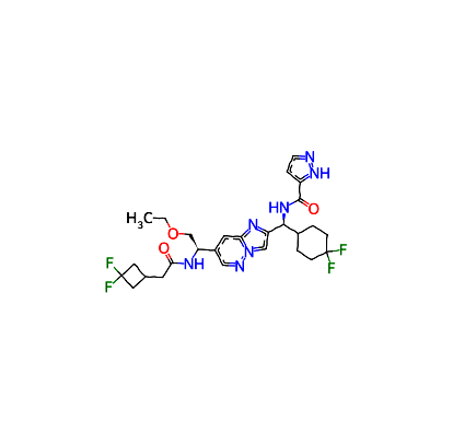 CCOC[C@H](NC(=O)CC1CC(F)(F)C1)c1cnn2cc([C@@H](NC(=O)c3ccn[nH]3)C3CCC(F)(F)CC3)nc2c1